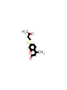 CC(=O)CCSc1ccc2c(C)cc(=O)oc2c1